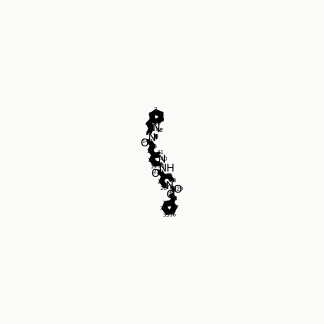 CN(Cc1cc2ccccc2n1C)C(=O)/C=C/c1ccc(NC(=O)C2CCN(C(=O)OCc3ccccc3)CC2)nc1